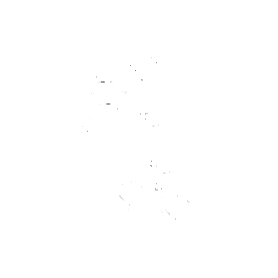 N#Cc1ccc(Cn2cncc2CCNC(=O)[C@H]2CCCN(C(=O)N(c3ccccc3)c3ccccc3)C2)cc1